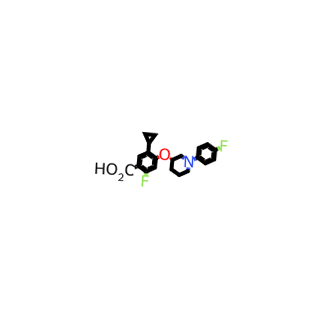 O=C(O)c1cc(C2CC2)c(O[C@@H]2CCCN(c3ccc(F)cc3)C2)cc1F